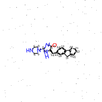 O=C1N=C(N2CCNCC2)NC1=Cc1ccc2c(c1)Cc1ccccc1-2